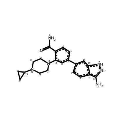 NC(=O)c1ccc(-c2ccc3c(N)n[nH]c3c2)cc1N1CCN(C2CC2)CC1